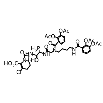 CC(=O)Oc1cccc(C(=O)NCCCCN(CC(=O)N[C@@H](P)C(=O)N[C@@H]2C(=O)N3C(C(=O)O)=C(Cl)CC[C@H]23)C(=O)c2cccc(OC(C)=O)c2OC(C)=O)c1OC(C)=O